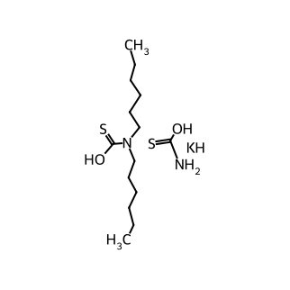 CCCCCCN(CCCCCC)C(O)=S.NC(O)=S.[KH]